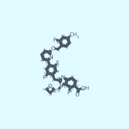 Cc1ccc(COc2cccc(-c3cc(F)c(Cc4nc5ccc(C(=O)O)c(F)c5n4C[C@@H]4CCO4)cc3F)n2)c(F)c1